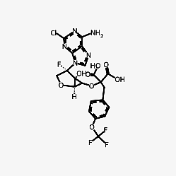 Nc1nc(Cl)nc2c1ncn2[C@]1(F)CO[C@@H]2C(OC(Cc3ccc(OC(F)(F)F)cc3)(C(=O)O)C(=O)O)[C@@]21O